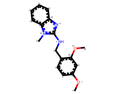 COc1ccc(CNc2nc3ccccc3n2C)c(OC)c1